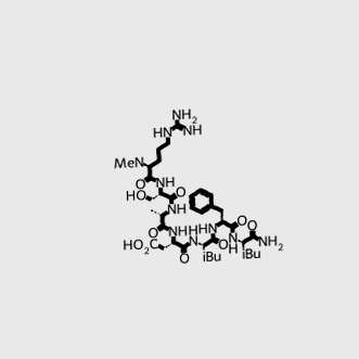 CC[C@H](C)[C@H](NC(=O)[C@H](Cc1ccccc1)NC(=O)[C@@H](NC(=O)[C@H](CC(=O)O)NC(=O)[C@H](C)NC(=O)[C@H](CO)NC(=O)[C@H](CCCNC(=N)N)NC)[C@@H](C)CC)C(N)=O